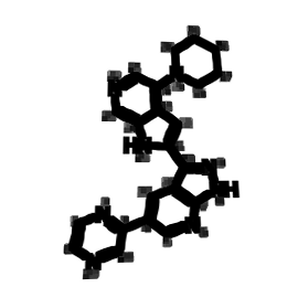 c1cnc(-c2cnc3[nH]nc(-c4cc5c(N6CCCCC6)cncc5[nH]4)c3c2)cn1